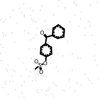 CS(=O)(=O)Oc1ccc(C(=O)c2ccccc2)cc1